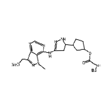 CCC(C)NC(=O)OC1CCC(C2CC(Nc3ncnc4c(COC)nn(C)c34)=NN2)C1